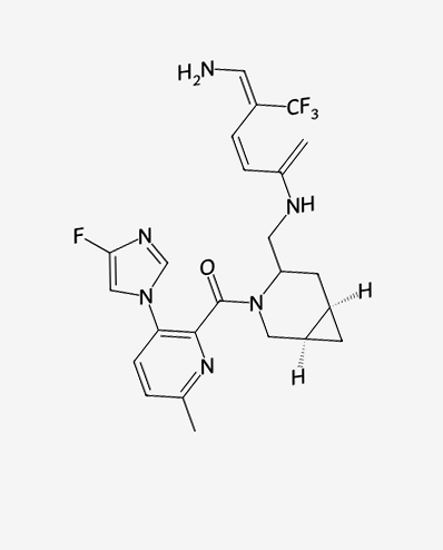 C=C(/C=C\C(=C/N)C(F)(F)F)NCC1C[C@H]2C[C@H]2CN1C(=O)c1nc(C)ccc1-n1cnc(F)c1